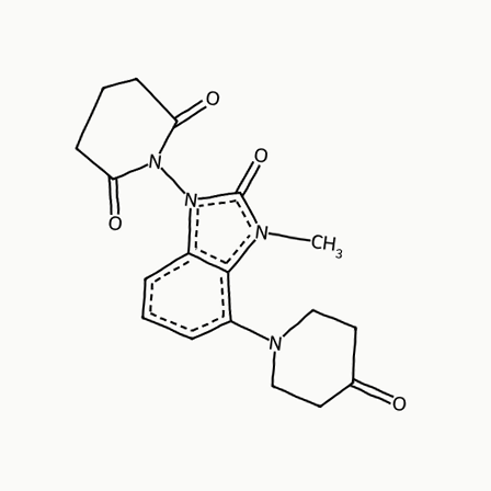 Cn1c(=O)n(N2C(=O)CCCC2=O)c2cccc(N3CCC(=O)CC3)c21